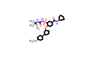 COc1ccc(-c2cccc(Oc3ccc(C(=O)Nc4ccccc4)cc3S(=O)(=O)NC(=O)NC(C)(C)C)c2)cc1